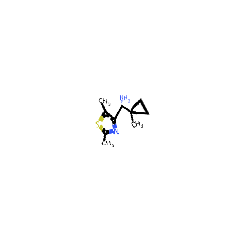 Cc1nc([C@H](N)C2(C)CC2)c(C)s1